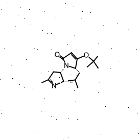 CC1=N[C@@H](C)[C@@H](N2C(=O)C=C(OC(C)(C)C)[C@@H]2CC(C)C)C1